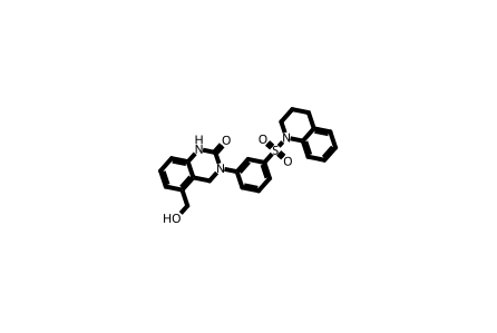 O=C1Nc2cccc(CO)c2CN1c1cccc(S(=O)(=O)N2CCCc3ccccc32)c1